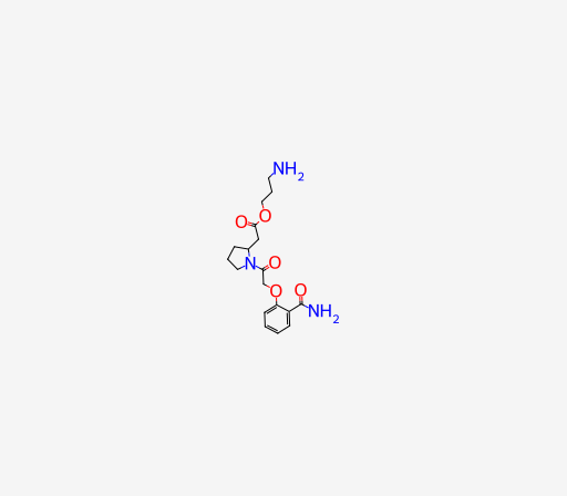 NCCCOC(=O)CC1CCCN1C(=O)COc1ccccc1C(N)=O